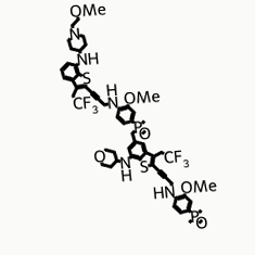 COCCN1CCC(Nc2cccc3c(CC(F)(F)F)c(C#CCNc4ccc(P(C)(=O)Cc5cc(NC6CCOCC6)c6sc(C#CCNc7ccc(P(C)(C)=O)cc7OC)c(CC(F)(F)F)c6c5)cc4OC)sc23)CC1